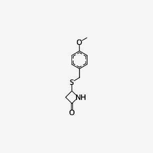 COc1ccc(CSC2CC(=O)N2)cc1